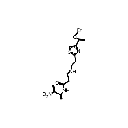 C=C(NC(=O)CCNCCc1nc(C(=C)OCC)cs1)C(=C)[N+](=O)[O-]